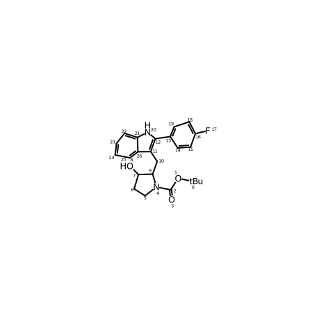 CC(C)(C)OC(=O)N1CCC(O)C1Cc1c(-c2ccc(F)cc2)[nH]c2ccccc12